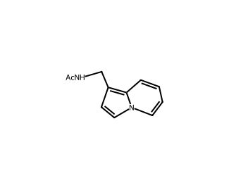 CC(=O)NCc1ccn2ccccc12